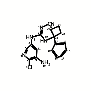 N#C/N=C(/Nc1cnc(Cl)c(N)c1)NC1(c2ccccc2)CCC1